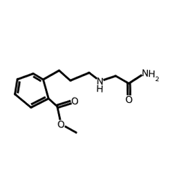 COC(=O)c1ccccc1CCCNCC(N)=O